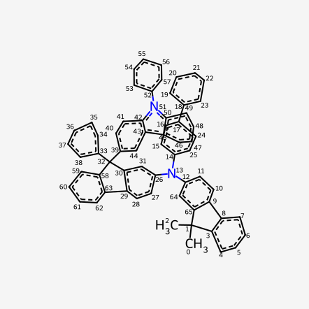 CC1(C)c2ccccc2-c2ccc(N(c3ccc(-c4ccccc4)cc3)c3ccc4c(c3)C(c3ccccc3)(c3ccc5c(c3)c3ccccc3n5-c3ccccc3)c3ccccc3-4)cc21